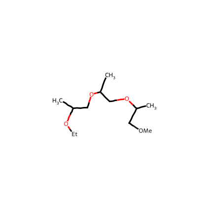 CCOC(C)COC(C)COC(C)COC